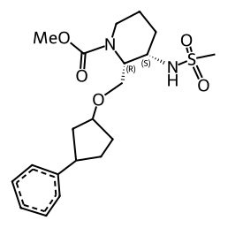 COC(=O)N1CCC[C@H](NS(C)(=O)=O)[C@@H]1COC1CCC(c2ccccc2)C1